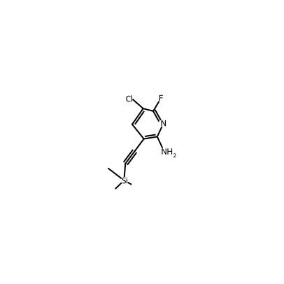 C[Si](C)(C)C#Cc1cc(Cl)c(F)nc1N